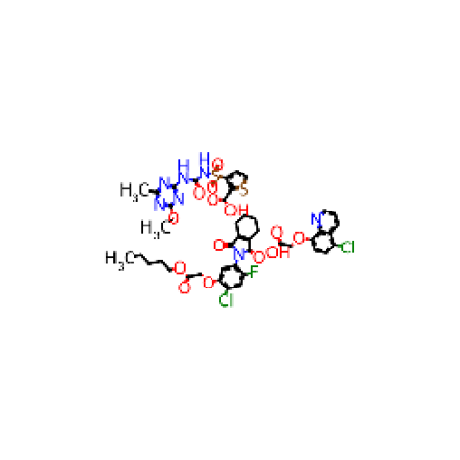 CCCCCOC(=O)COc1cc(N2C(=O)C3=C(CCCC3)C2=O)c(F)cc1Cl.COc1nc(C)nc(NC(=O)NS(=O)(=O)c2ccsc2C(=O)O)n1.O=C(O)COc1ccc(Cl)c2cccnc12